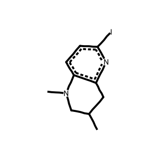 CC1Cc2nc(I)ccc2N(C)C1